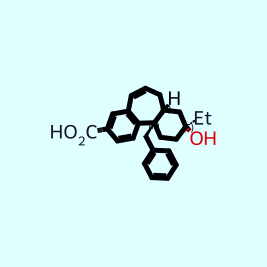 CC[C@]1(O)CC[C@]2(Cc3ccccc3)c3ccc(C(=O)O)cc3C=CC[C@@H]2C1